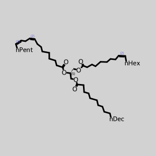 CCCCC/C=C\C/C=C\CCCCCCCC(=O)O[C@H](COC(=O)CCCCCCC/C=C\CCCCCC)COC(=O)CCCCCCCCCCCCCCCCCCC